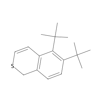 CC(C)(C)c1ccc2c(c1C(C)(C)C)C=CSC2